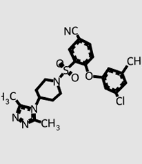 Cc1cc(Cl)cc(Oc2ccc(C#N)cc2S(=O)(=O)N2CCC(n3c(C)nnc3C)CC2)c1